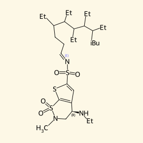 CCN[C@H]1CN(C)S(=O)(=O)c2sc(S(=O)(=O)/N=C/CCC(CC)C(CC)C(CC)C(CC)C(CC)C(C)CC)cc21